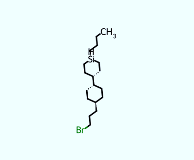 CCCC[Si@H]1CC[C@H]([C@H]2CC[C@H](CCCBr)CC2)CC1